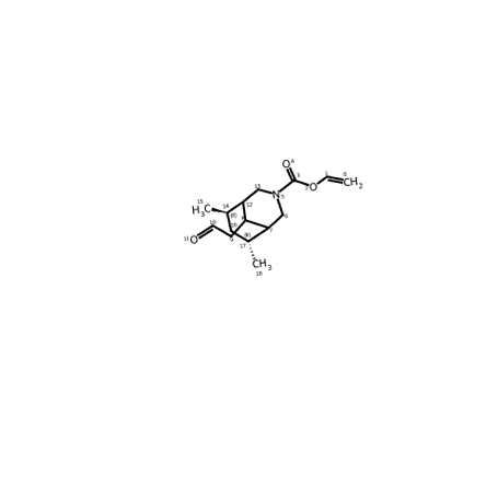 C=COC(=O)N1CC2C(CC=O)C(C1)[C@H](C)C[C@H]2C